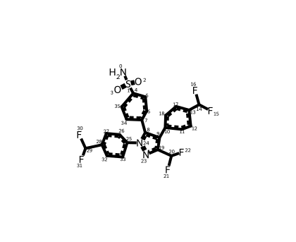 NS(=O)(=O)c1ccc(-c2c(-c3ccc(C(F)F)cc3)c(C(F)F)nn2-c2ccc(C(F)F)cc2)cc1